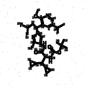 COc1nnc(N(C)C)cc1C(CC(F)F)n1cc(NC(=O)C(NC(=O)OC(C)(C)C)C(C2CC2)C2CC2)c(F)n1